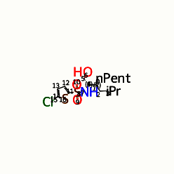 CCCCC[C@H](CC(C)C)[C@@H](CO)NS(=O)(=O)c1ccc(Cl)s1